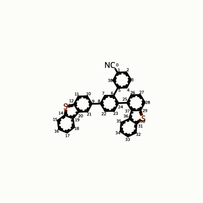 N#Cc1cccc(-c2cc(-c3ccc4sc5ccccc5c4c3)ccc2-c2cccc3sc4ccccc4c23)c1